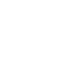 CCC[C@H]1CC[C@H]([C@H]2CC[C@H](CCC(O)CC)CC2)CC1